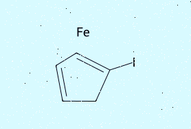 IC1=CC=CC1.[Fe]